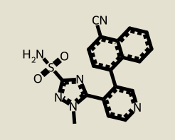 Cn1nc(S(N)(=O)=O)nc1-c1ccncc1-c1ccc(C#N)c2ccccc12